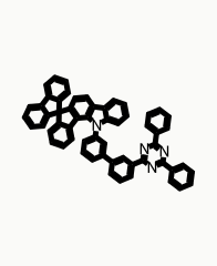 c1ccc(-c2nc(-c3ccccc3)nc(-c3cccc(-c4cccc(-n5c6ccccc6c6ccc7c(c65)-c5ccccc5C75c6ccccc6-c6ccccc65)c4)c3)n2)cc1